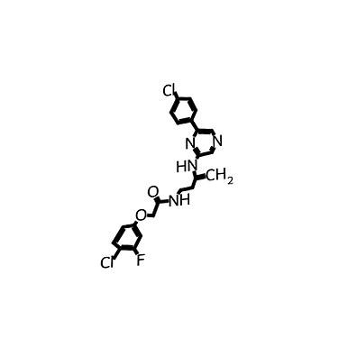 C=C(CCNC(=O)COc1ccc(Cl)c(F)c1)Nc1cncc(-c2ccc(Cl)cc2)n1